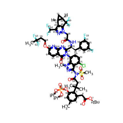 Cc1cc(CC(=O)OC(C)(C)C)c(C(C)(C)CC(=O)N(c2nn(C)c3c(-n4c([C@H](Cc5cc(F)cc(F)c5)NC(=O)Cn5nc(C(F)F)c6c5C(F)(F)[C@@H]5C[C@H]65)nc5nc(OCCC(C)(F)F)ccc5c4=O)ccc(Cl)c23)S(C)(=O)=O)c(OP(=O)(OC(C)C)OC(C)C)c1